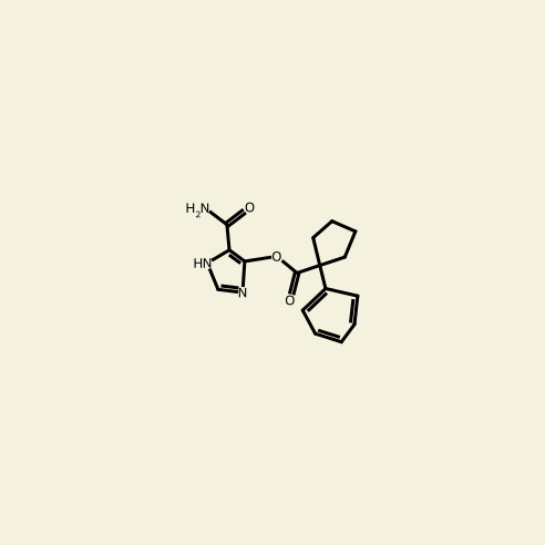 NC(=O)c1[nH]cnc1OC(=O)C1(c2ccccc2)CCCC1